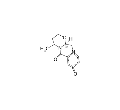 CC1CCO[C@H]2Cn3ccc(=O)cc3C(=O)N12